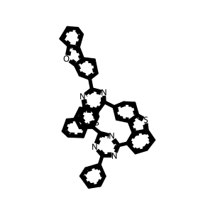 c1ccc(-c2nc(-c3ccccc3)nc(-c3cccc4sc5ccc(-c6nc(-c7ccc8c(c7)oc7ccccc78)nc7c6sc6ccccc67)cc5c34)n2)cc1